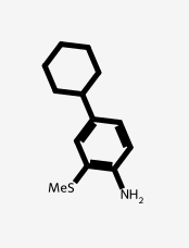 CSc1cc(C2CCCCC2)ccc1N